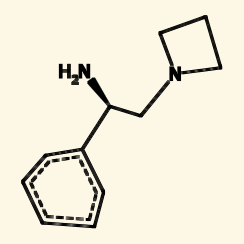 N[C@@H](CN1CCC1)c1ccccc1